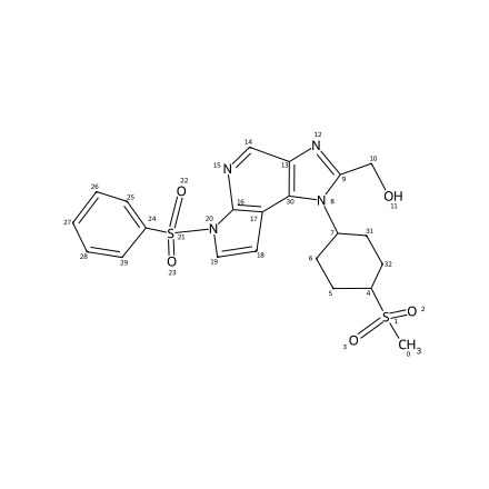 CS(=O)(=O)C1CCC(n2c(CO)nc3cnc4c(ccn4S(=O)(=O)c4ccccc4)c32)CC1